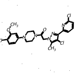 COc1cc(N2CCN(C(=O)Cn3nc(-c4cccc(Cl)n4)c(Cl)c3C)CC2)ccc1Cl